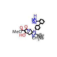 CCCCC1N(C)C2=C(CN3C(=O)C(C(=O)OC)=C(O)C3C2)N1c1ccc(-c2ccccc2-c2nnn[nH]2)cc1.[Na].[Na]